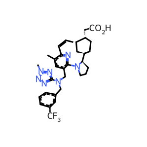 C/C=C\c1nc(N2CCC[C@@H]2[C@H]2CC[C@H](CC(=O)O)CC2)c(CN(Cc2cccc(C(F)(F)F)c2)c2nnn(C)n2)cc1C